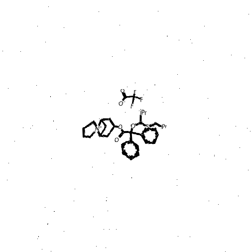 CC(C)CSC(OC(C(=O)OC1CC2CCC(C1)[N+]21CCCC1)(c1ccccc1)c1ccccc1)C(C)C.O=C([O-])C(F)(F)F